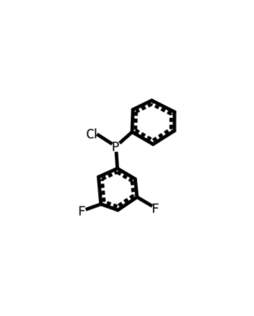 Fc1cc(F)cc(P(Cl)c2ccccc2)c1